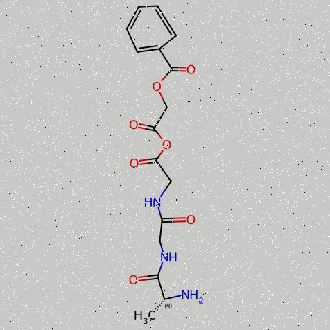 C[C@@H](N)C(=O)NCC(=O)NCC(=O)OC(=O)COC(=O)c1ccccc1